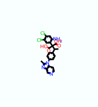 Cc1nc2cnccc2n1-c1ccc(C(C)C(C(=O)O)(C(=O)O)c2cc(Cl)c(Cl)cc2N)cc1